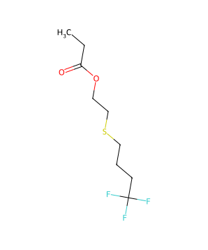 CCC(=O)OCCSCCCC(F)(F)F